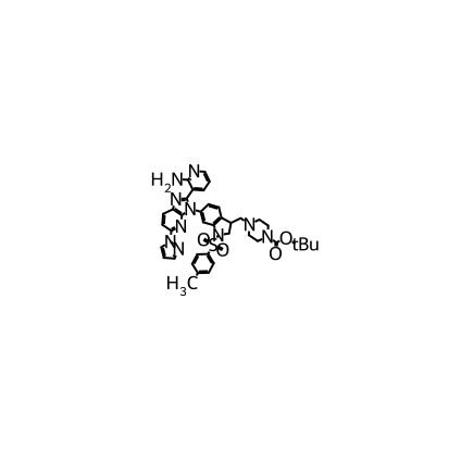 Cc1ccc(S(=O)(=O)N2CC(CN3CCN(C(=O)OC(C)(C)C)CC3)c3ccc(-n4c(-c5cccnc5N)nc5ccc(-n6cccn6)nc54)cc32)cc1